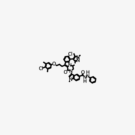 Cc1cc(OCCCc2c3n(c4c(-c5c(C)nn(C)c5C)c(Cl)ccc24)C(C)CN(c2cn(C)c4ccc(C(=O)NNc5ccccc5)cc24)C3=O)cc(C)c1Cl